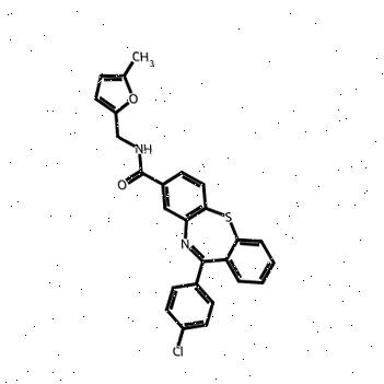 Cc1ccc(CNC(=O)c2ccc3c(c2)N=C(c2ccc(Cl)cc2)c2ccccc2S3)o1